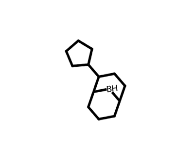 B1C2CCCC1C(C1CCCC1)CC2